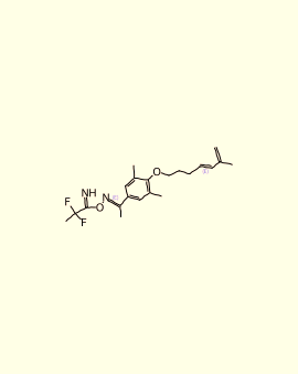 C=C(C)/C=C/CCCOc1c(C)cc(/C(C)=N/OC(=N)C(C)(F)F)cc1C